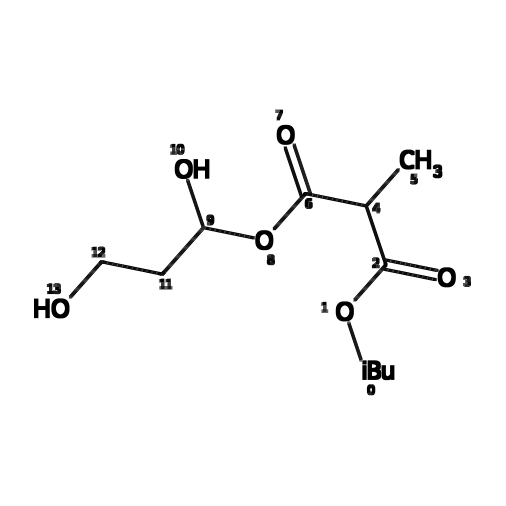 CCC(C)OC(=O)C(C)C(=O)OC(O)CCO